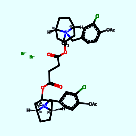 CC(=O)Oc1ccc(C[N+]2(C)[C@@H]3CC[C@H]2CC(OC(=O)CCC(=O)OC2C[C@H]4CC[C@@H](C2)[N+]4(C)Cc2ccc(OC(C)=O)c(Cl)c2)C3)cc1Cl.[Br-].[Br-]